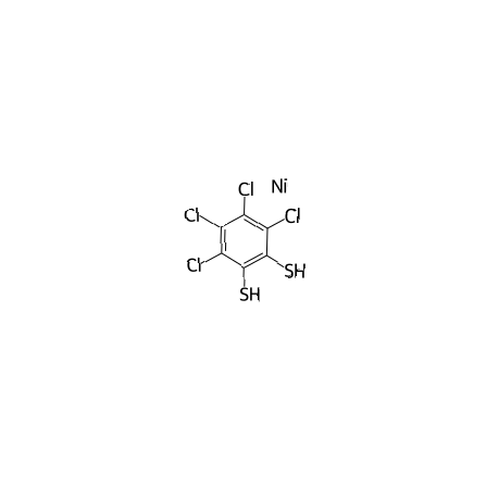 Sc1c(S)c(Cl)c(Cl)c(Cl)c1Cl.[Ni]